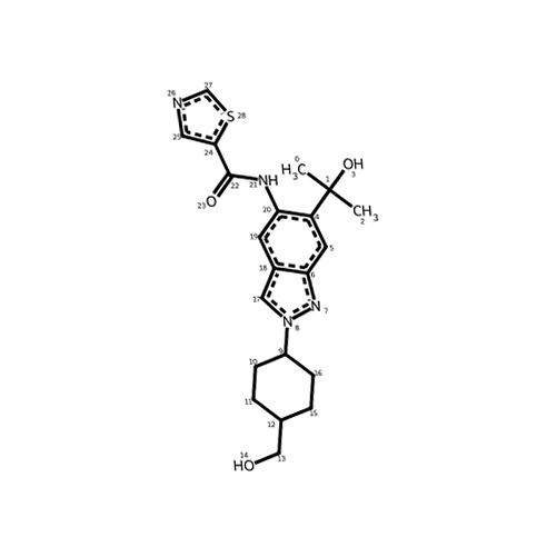 CC(C)(O)c1cc2nn(C3CCC(CO)CC3)cc2cc1NC(=O)c1cncs1